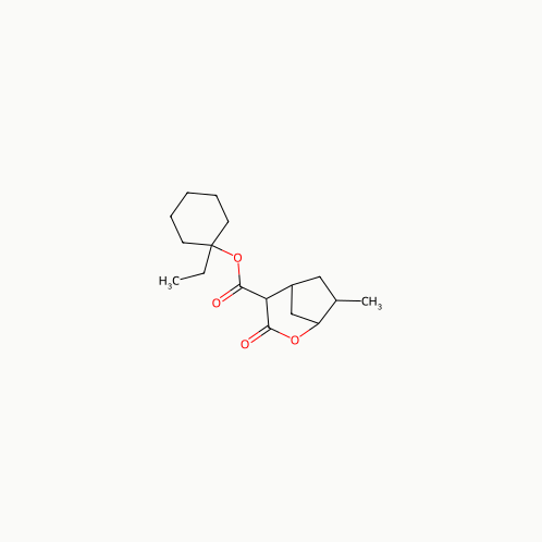 CCC1(OC(=O)C2C(=O)OC3CC2CC3C)CCCCC1